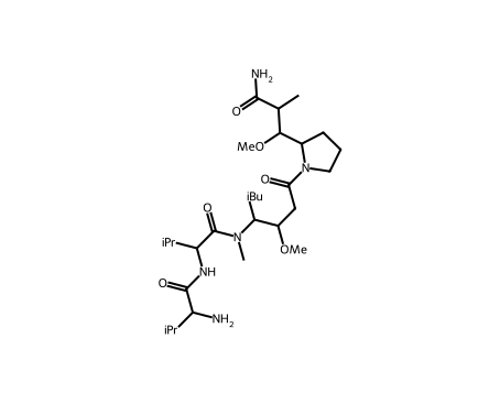 CCC(C)C(C(CC(=O)N1CCCC1C(OC)C(C)C(N)=O)OC)N(C)C(=O)C(NC(=O)C(N)C(C)C)C(C)C